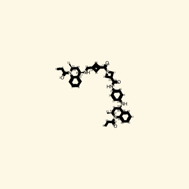 CCC(=O)N1c2ccccc2[C@H](NCC23CC(C(=O)N4CC(C(=O)Nc5ccc(N[C@@H]6C[C@H](C)N(C(=O)CC)c7ccccc76)cc5)C4)(C2)C3)C[C@@H]1C